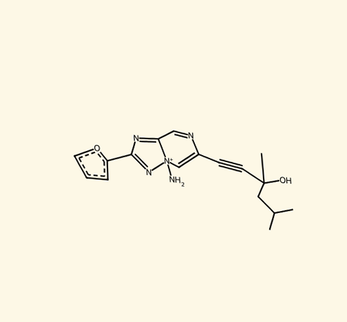 CC(C)CC(C)(O)C#CC1=C[N+]2(N)N=C(c3ccco3)N=C2C=N1